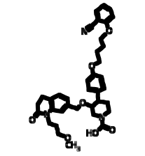 COCCCN1C(=O)CCc2ccc(COC3CN(C(=O)O)CCC3c3ccc(OCCCCOc4ccccc4C#N)cc3)cc21